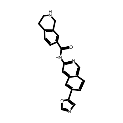 O=C(Nc1cc2cc(-c3cnco3)ccc2cn1)c1ccc2c(c1)CNCC2